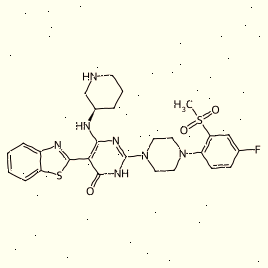 CS(=O)(=O)c1cc(F)ccc1N1CCN(c2nc(N[C@@H]3CCCNC3)c(-c3nc4ccccc4s3)c(=O)[nH]2)CC1